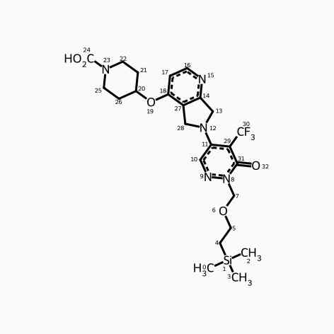 C[Si](C)(C)CCOCn1ncc(N2Cc3nccc(OC4CCN(C(=O)O)CC4)c3C2)c(C(F)(F)F)c1=O